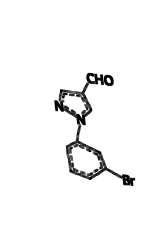 O=Cc1cnn(-c2cccc(Br)c2)c1